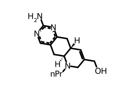 CCCN1CC(CO)=C[C@H]2Cc3nc(N)ncc3C[C@@H]21